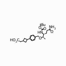 C[C@@H](OCc1ccc(C2CC(CC(=O)O)C2)cc1)[C@H](CCC(N)=O)NC(=O)OC(C)(C)C